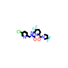 O=C([C@@H]1CCC(F)(F)c2nn(Cc3ccc(Cl)cn3)c(=O)n21)N1CCC(F)(F)C1